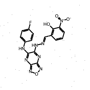 O=[N+]([O-])c1cccc(C=NNc2nc3nonc3nc2Nc2ccc(F)cc2)c1O